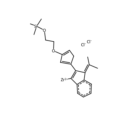 CC(C)=C1C(C2=CC(OCCO[Si](C)(C)C)=CC2)=[C]([Zr+2])c2ccccc21.[Cl-].[Cl-]